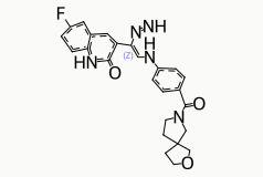 N=N/C(=C\Nc1ccc(C(=O)N2CCC3(CCOC3)C2)cc1)c1cc2cc(F)ccc2[nH]c1=O